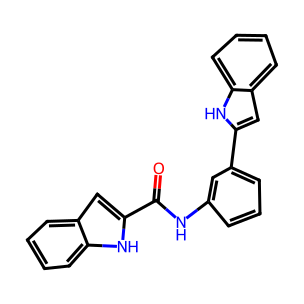 O=C(Nc1cccc(-c2cc3ccccc3[nH]2)c1)c1cc2ccccc2[nH]1